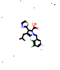 CC(C)Cc1cn(Cc2cccc(F)c2F)c(C(=O)O)c1-c1nccs1